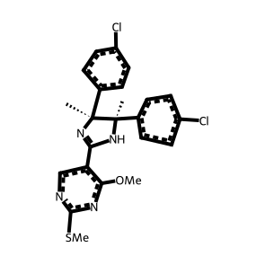 COc1nc(SC)ncc1C1=N[C@@](C)(c2ccc(Cl)cc2)[C@@](C)(c2ccc(Cl)cc2)N1